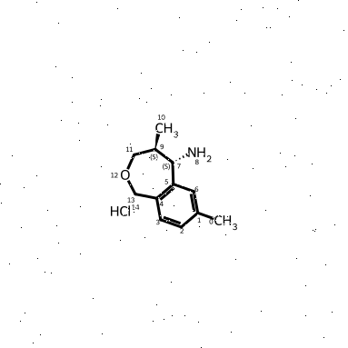 Cc1ccc2c(c1)[C@@H](N)[C@H](C)COC2.Cl